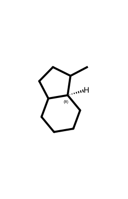 CC1CCC2CCCC[C@H]12